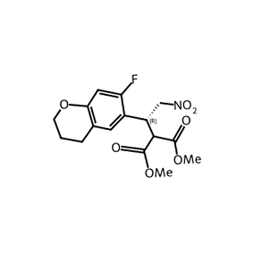 COC(=O)C(C(=O)OC)[C@@H](C[N+](=O)[O-])c1cc2c(cc1F)OCCC2